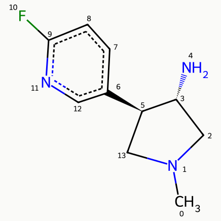 CN1C[C@@H](N)[C@H](c2ccc(F)nc2)C1